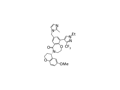 CCn1cc(-c2cc(Cn3ccnc3C)cc3c2OCCN([C@H]2CCOc4ccc(OC)cc42)C3=O)c(C(F)(F)F)n1